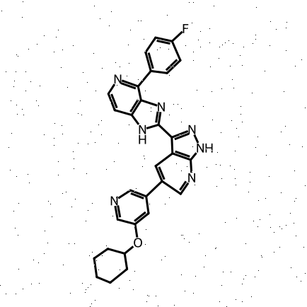 Fc1ccc(-c2nccc3[nH]c(-c4n[nH]c5ncc(-c6cncc(OC7CCCCC7)c6)cc45)nc23)cc1